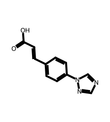 O=C(O)/C=C/c1ccc(-n2cncn2)cc1